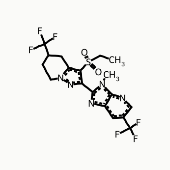 CCS(=O)(=O)c1c(-c2nc3cc(C(F)(F)F)cnc3n2C)nn2c1CC(C(F)(F)F)CC2